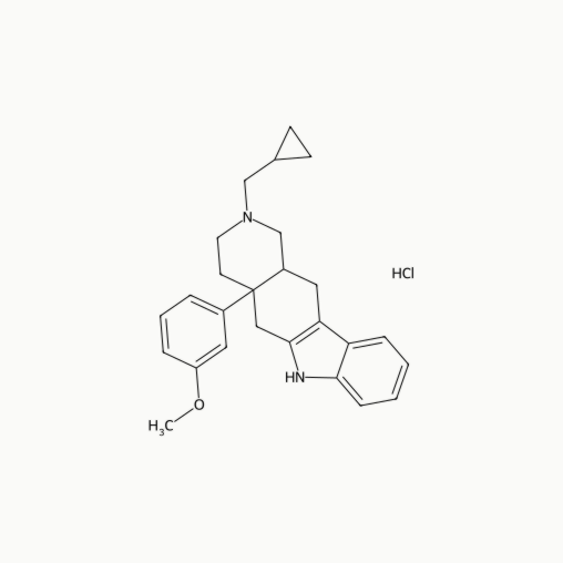 COc1cccc(C23CCN(CC4CC4)CC2Cc2c([nH]c4ccccc24)C3)c1.Cl